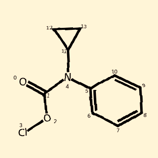 O=C(OCl)N(c1ccccc1)C1CC1